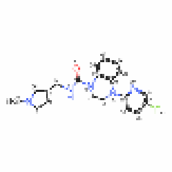 CC(C)(C)N1CC[C@H](CNC(=O)N2CCN(c3ccc(F)cn3)c3ccccc32)C1